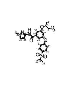 COCC(C)Oc1cc(Oc2ccc(S(=O)(=O)C(C)C)cc2)cc(C(=O)Nc2ccn(C)n2)c1